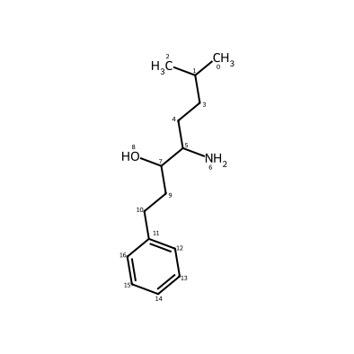 CC(C)CCC(N)C(O)CCc1ccccc1